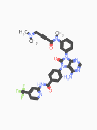 CN(C)CC#CC(=O)N(C)c1cccc(-n2c(=O)n(-c3ccc(C(=O)Nc4cc(C(F)(F)F)ccn4)cc3)c3c(N)ncnc32)c1